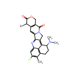 CCC1C(=O)OCc2c1cc1n(c2=O)Cc2c-1nc1cc(F)c(C)c3c1c2C(N(C)C)CC3